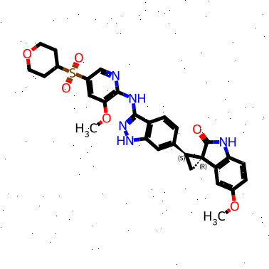 COc1ccc2c(c1)[C@]1(C[C@H]1c1ccc3c(Nc4ncc(S(=O)(=O)C5CCOCC5)cc4OC)n[nH]c3c1)C(=O)N2